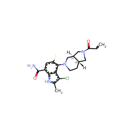 C=CC(=O)N1C[C@@H]2CN(c3c(F)cc(C(N)=O)c4[nH]c(C)c(Cl)c34)CC[C@H]2C1